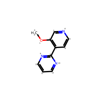 COc1[c]nccc1-c1ncccn1